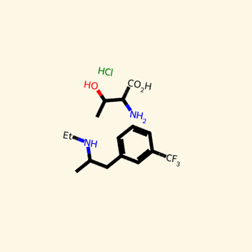 CC(O)C(N)C(=O)O.CCNC(C)Cc1cccc(C(F)(F)F)c1.Cl